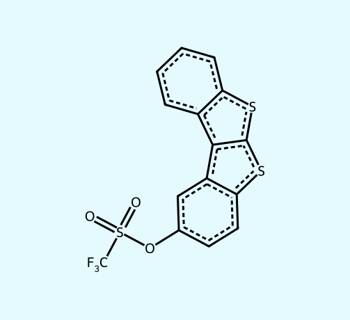 O=S(=O)(Oc1ccc2sc3sc4ccccc4c3c2c1)C(F)(F)F